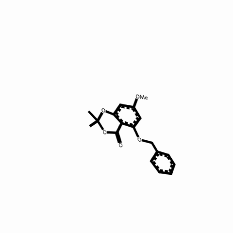 COc1cc(OCc2ccccc2)c2c(c1)OC(C)(C)OC2=O